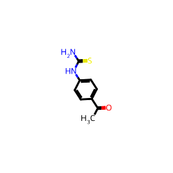 CC(=O)c1ccc(NC(N)=S)cc1